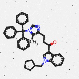 Cc1c(CCC(=O)c2cn(CC3CCCC3)c3ccccc23)ncn1C(c1ccccc1)(c1ccccc1)c1ccccc1